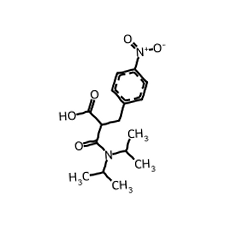 CC(C)N(C(=O)C(Cc1ccc([N+](=O)[O-])cc1)C(=O)O)C(C)C